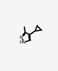 Cc1n[nH][c]c1C1CC1